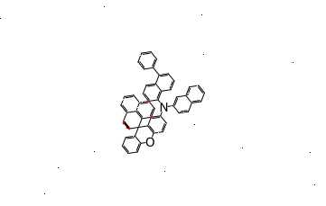 c1ccc(-c2cccc3c(N(c4ccc5c(c4)C4(c6ccccc6O5)c5ccccc5-c5cccc6cccc4c56)c4ccc5ccccc5c4)cccc23)cc1